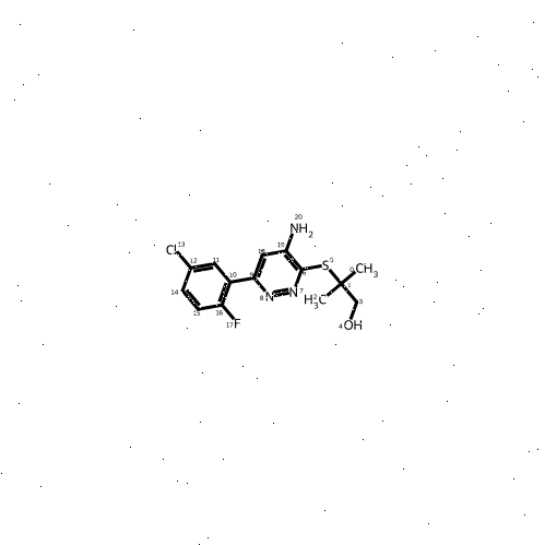 CC(C)(CO)Sc1nnc(-c2cc(Cl)ccc2F)cc1N